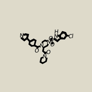 O=C(CC1CN(S(=O)(=O)c2cc3cc(Cl)ccc3[nH]2)CCN1C(=O)C1CC=C(c2ccncc2)CC1)N1CCCCC1